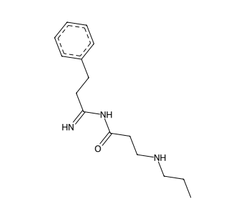 CCCNCCC(=O)NC(=N)CCc1ccccc1